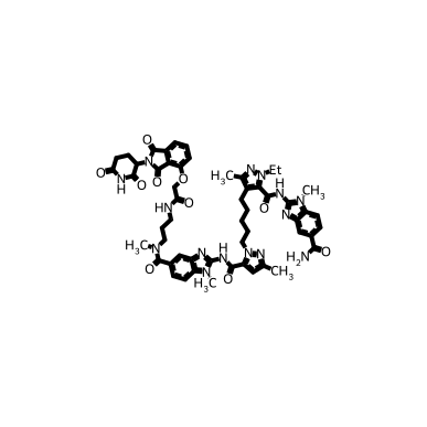 CCn1nc(C)c(CCCCCn2nc(C)cc2C(=O)Nc2nc3cc(C(=O)N(C)CCCNC(=O)COc4cccc5c4C(=O)N(C4CCC(=O)NC4=O)C5=O)ccc3n2C)c1C(=O)Nc1nc2cc(C(N)=O)ccc2n1C